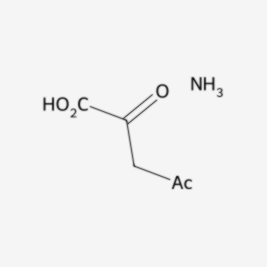 CC(=O)CC(=O)C(=O)O.N